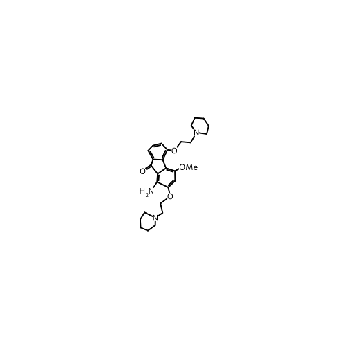 COc1cc(OCCN2CCCCC2)c(N)c2c1-c1c(OCCN3CCCCC3)cccc1C2=O